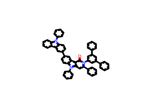 O=c1c2c3cc(-c4ccc5c(c4)c4ccccc4n5-c4ccccc4)ccc3n(-c3ccccc3)c2cc(-c2ccccc2)n1-c1cc(-c2ccccc2)cc(-c2ccccc2)c1